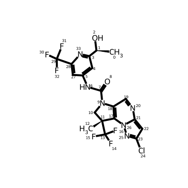 C[C@H](O)c1cc(NC(=O)N2C[C@@](C)(C(F)(F)F)c3c2cnc2cc(Cl)nn32)cc(C(F)(F)F)n1